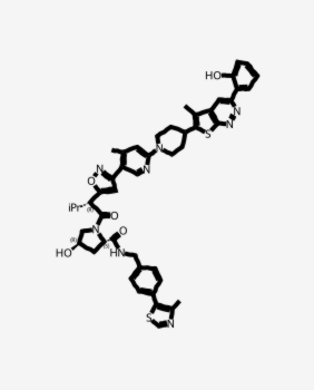 Cc1cc(N2CCC(c3sc4nnc(-c5ccccc5O)cc4c3C)CC2)ncc1-c1cc([C@H](C(=O)N2C[C@H](O)C[C@H]2C(=O)NCc2ccc(-c3scnc3C)cc2)C(C)C)on1